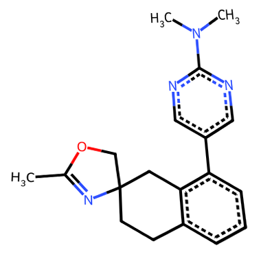 CC1=NC2(CCc3cccc(-c4cnc(N(C)C)nc4)c3C2)CO1